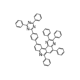 c1ccc(-c2nc(-c3ccccc3)nc(-c3ccc(-c4ccc5nc(-c6ccccc6)c6cc(-c7ccccc7)c7nc(-c8ccccc8)c(-c8ccccc8)nc7c6c5c4)cc3)n2)cc1